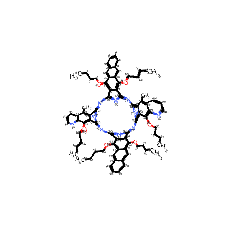 CCCCOc1c2c(c(OCCCC)c3cc4ccccc4cc13)-c1nc-2nc2[nH]c(nc3nc(nc4[nH]c(n1)c1c(C)c5cccnc5c(OCCCC)c41)-c1c-3c(OCCCC)c3cc4ccccc4cc3c1OCCCC)c1c(OCCCC)c3ncccc3c(C)c21